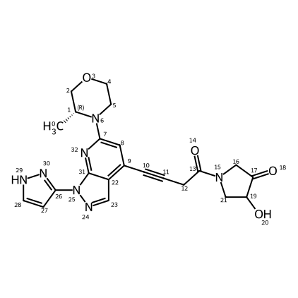 C[C@@H]1COCCN1c1cc(C#CCC(=O)N2CC(=O)C(O)C2)c2cnn(-c3cc[nH]n3)c2n1